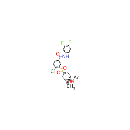 CC(=O)C[C@@]1(O)C2C[C@@H](S(=O)(=O)c3cc(C(=O)Nc4ccc(F)c(F)c4)ccc3Cl)CC1[C@@H](C)C2